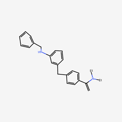 C=C(c1ccc(Cc2cccc(NCc3ccccc3)c2)cc1)N(CC)CC